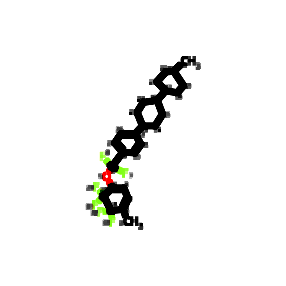 CC1=CC=C(OC(F)(F)c2ccc(C3CCC(C4CCC(C)CC4)CC3)cc2)C(F)(F)C1(F)F